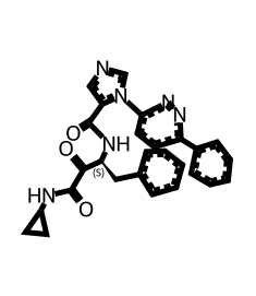 O=C(NC1CC1)C(=O)[C@H](Cc1ccccc1)NC(=O)c1cncn1-c1ccc(-c2ccccc2)nn1